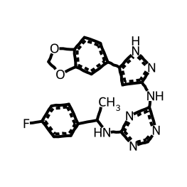 CC(Nc1ncnc(Nc2cc(-c3ccc4c(c3)OCO4)[nH]n2)n1)c1ccc(F)cc1